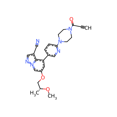 C#CC(=O)N1CCN(c2ccc(-c3cc(OC[C@@H](C)OC)cn4ncc(C#N)c34)cn2)CC1